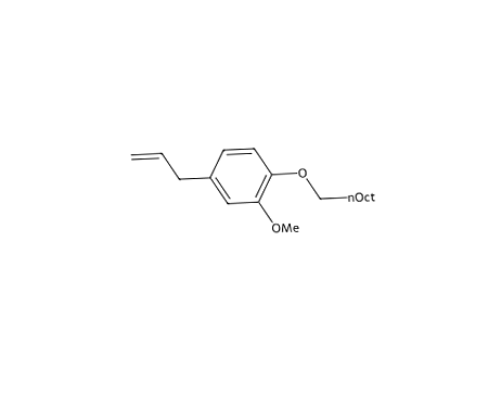 C=CCc1ccc(OCCCCCCCCC)c(OC)c1